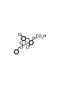 O=C(O)COc1ccc(Cl)cc1Cc1cc(Cl)ccc1OCC(=O)OCc1ccccc1